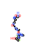 C#Cc1c(F)ccc2cc(O)cc(-c3ncc4c(N5CC6CCC(C5)N6)nc(OCC5(CN6CCN(C7CC(C(=O)N8CCC(c9ccc%10c(C%11CCC(=O)NC%11=O)nn(C)c%10c9)CC8)C7)CC6)CC5)nc4c3F)c12